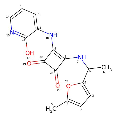 Cc1ccc(C(C)Nc2c(Nc3cccnc3O)c(=O)c2=O)o1